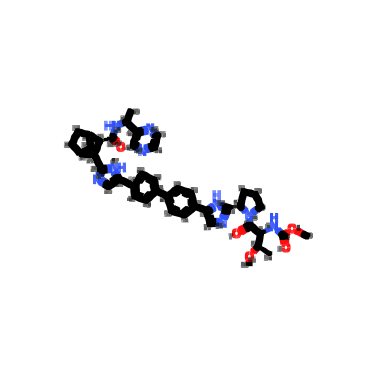 COC(=O)N[C@H](C(=O)N1CCC[C@H]1c1ncc(-c2ccc(-c3ccc(-c4cnc(C5C6CCC(C6)[C@@H]5C(=O)NC(C)c5cnccn5)[nH]4)cc3)cc2)[nH]1)[C@@H](C)OC